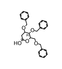 O[C@H]1CC(OCc2ccccc2)[C@@H](OCc2ccccc2)C(COCc2ccccc2)O1